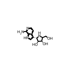 Nc1nccc2c([C@@H]3NC(CO)[C@@H](O)[C@H]3O)c[nH]c12